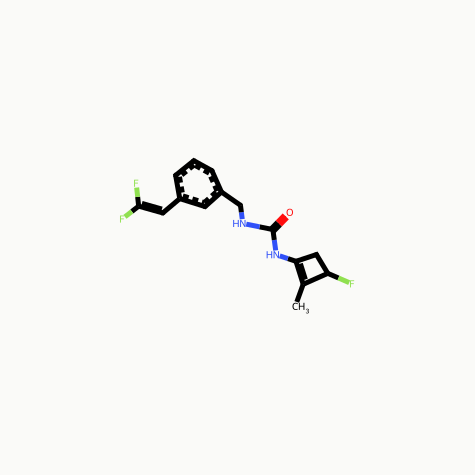 CC1=C(NC(=O)NCc2cccc(C=C(F)F)c2)CC1F